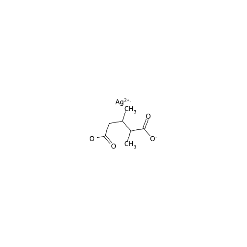 CC(CC(=O)[O-])C(C)C(=O)[O-].[Ag+2]